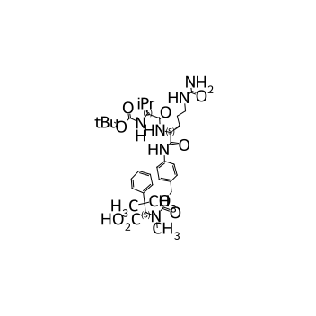 CC(C)[C@H](NC(=O)OC(C)(C)C)C(=O)N[C@@H](CCCNC(N)=O)C(=O)Nc1ccc(COC(=O)N(C)[C@H](C(=O)O)C(C)(C)c2ccccc2)cc1